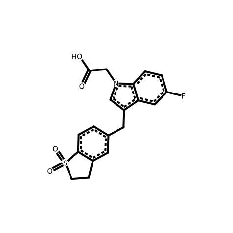 O=C(O)Cn1cc(Cc2ccc3c(c2)CCS3(=O)=O)c2cc(F)ccc21